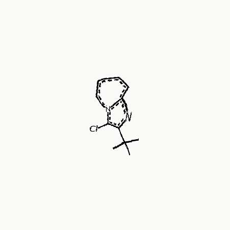 CC(C)(C)c1nc2ccccn2c1Cl